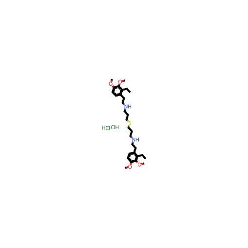 CCc1c(CCNCCCSCCCNCCc2ccc(OC)c(OC)c2CC)ccc(OC)c1OC.Cl.Cl